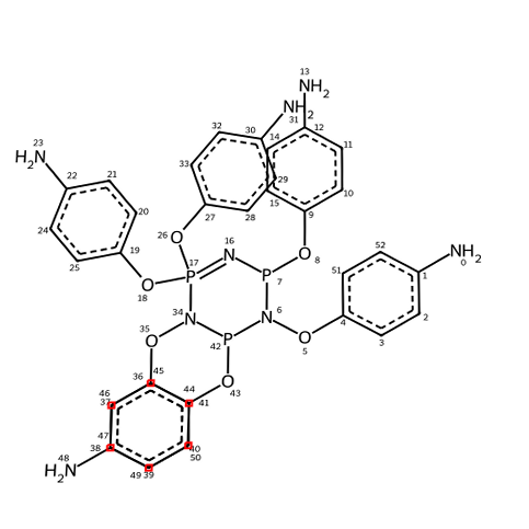 Nc1ccc(ON2P(Oc3ccc(N)cc3)N=P(Oc3ccc(N)cc3)(Oc3ccc(N)cc3)N(Oc3ccccc3)P2Oc2ccc(N)cc2)cc1